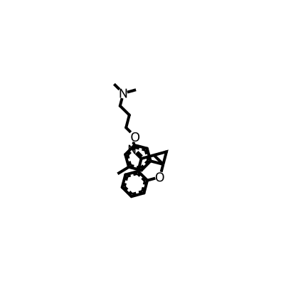 Cc1cccc(C23CC2C(=NOCCCN(C)C)c2ccccc2O3)c1